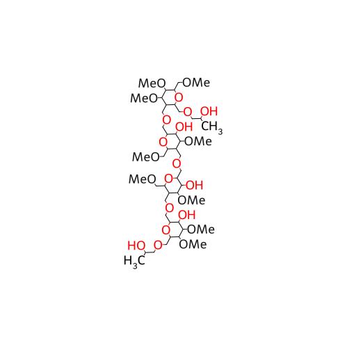 COCC1OC(COCC2C(COCC(C)O)OC(COC)C(OC)C2OC)C(O)C(OC)C1COCC1OC(COC)C(COCC2OC(COCC(C)O)C(OC)C(OC)C2O)C(OC)C1O